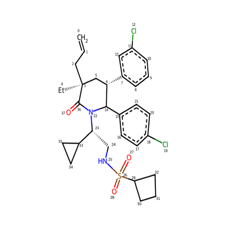 C=CC[C@@]1(CC)C[C@H](c2cccc(Cl)c2)C(c2ccc(Cl)cc2)N([C@H](CNS(=O)(=O)C2CCC2)C2CC2)C1=O